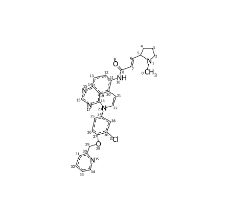 CN1CCCC1C=CC(=O)Nc1ccc2ncnc3c2c1C=CN3c1ccc(OCc2ccccn2)c(Cl)c1